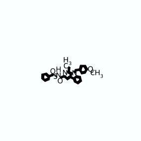 CCc1nc(C(=O)NSC(=O)c2ccccc2)cc2c3ccccc3n(Cc3ccc(OC)cc3)c12